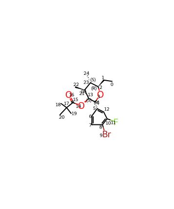 CC[C@H]1O[C@H](c2ccc(Br)c(F)c2)[C@@H](OC(=O)C(C)(C)C)[C@@H](C)[C@@H]1C